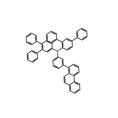 c1ccc(-c2ccc(N(c3cccc(-c4cccc5c4ccc4ccccc45)c3)c3ccc(-c4ccccc4)c(-c4ccccc4)c3)c(-c3ccccc3)c2)cc1